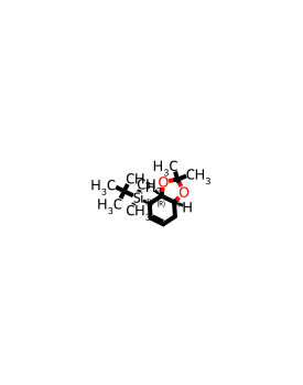 CC1(C)O[C@H]2[C@H]([Si](C)(C)C(C)(C)C)C=CC[C@H]2O1